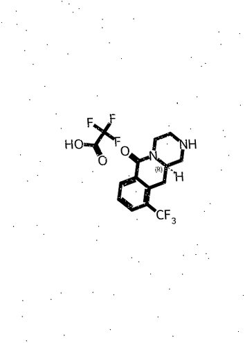 O=C(O)C(F)(F)F.O=C1c2cccc(C(F)(F)F)c2C[C@@H]2CNCCN12